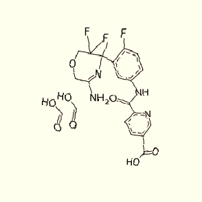 CC1(c2cc(NC(=O)c3ccc(C(=O)O)cn3)ccc2F)N=C(N)COCC1(F)F.O=CO.O=CO